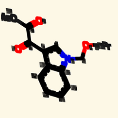 CCCOCn1cc(C(=O)C(=O)OC)c2ccccc21